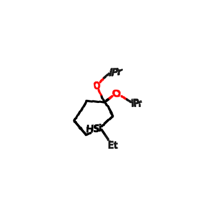 CC[SiH]1CCCC(OC(C)C)(OC(C)C)C1